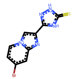 S=c1[nH]nc(-c2cn3ccc(Br)cc3n2)[nH]1